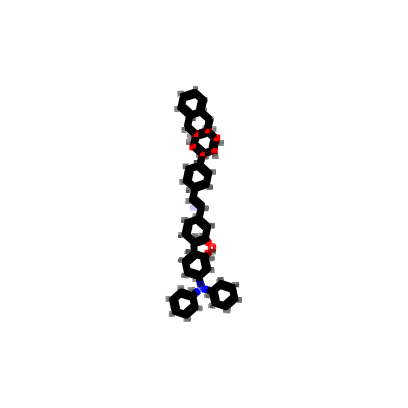 C1=CC2=C(CC1)C1c3ccccc3C2C2C=C(c3ccc(/C=C/c4ccc5c(c4)oc4cc(N(c6ccccc6)c6ccccc6)ccc45)cc3)C=CC12